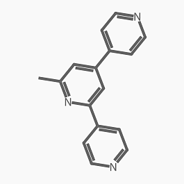 Cc1cc(-c2ccncc2)cc(-c2ccncc2)n1